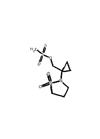 CS(=O)(=O)OCC1(N2CCCS2(=O)=O)CC1